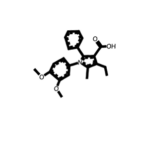 CCc1c(C(=O)O)c(-c2ccccc2)n(-c2ccc(OC)c(OC)c2)c1C